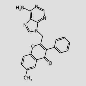 Cc1ccc2oc(Cn3cnc4c(N)ncnc43)c(-c3ccccc3)c(=O)c2c1